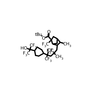 CC1C2CC(C1CC(C)(CC(C1CCC(C(O)(C(F)(F)F)C(F)(F)F)CC1)(C(F)(F)F)C(F)(F)F)C(F)(F)F)C(C(=O)OC(C)(C)C)(C(F)(F)F)C2